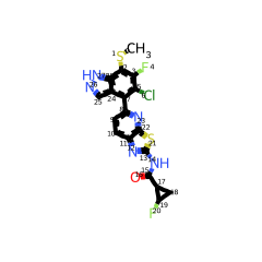 CSc1c(F)c(Cl)c(-c2ccc3nc(NC(=O)C4CC4F)sc3n2)c2cn[nH]c12